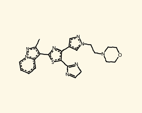 Cc1nn2ccccc2c1-c1nc(-c2cnn(CCN3CCOCC3)c2)c(C2=NCC=N2)s1